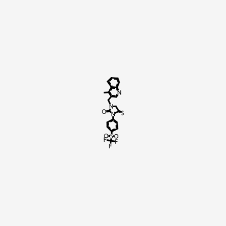 Cc1c(CN2CC(=S)N(c3ccc(S(=O)(=O)C(F)(F)F)cc3)C2=O)cnc2ccccc12